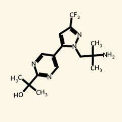 CC(C)(N)Cn1nc(C(F)(F)F)cc1-c1cnc(C(C)(C)O)nc1